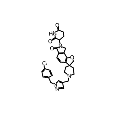 O=C1CCC(N2Cc3c(ccc4c3OCC43CCN(Cc4cnn(Cc5ccc(Cl)cc5)c4)CC3)C2=O)C(=O)N1